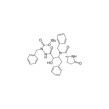 CC(C)(C)OC(=O)N(Cc1ccccc1)NC(=O)C(O)C(Cc1ccccc1)N(Cc1ccccc1)C(=O)[C@H]1CCC(=O)N1